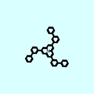 C1=C(c2cccc(-c3ccccc3)c2)C=C2C=C(c3cccc(-c4ccccc4)c3)C=C3C=C(c4cccc(-c5ccccc5)c4)C=C1N23